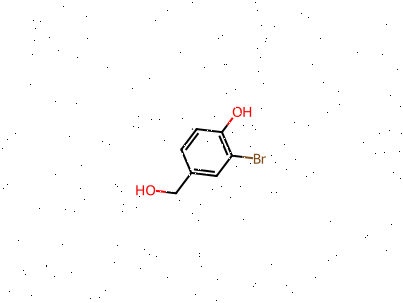 OCc1c[c]c(O)c(Br)c1